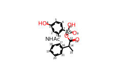 CC(=O)Nc1cc(O)ccc1[As](=O)(O)OC(=O)C(C)c1ccccc1